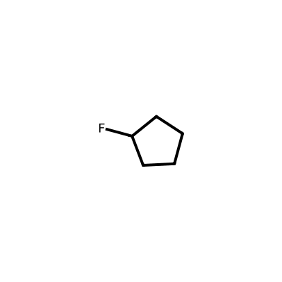 F[C]1CCCC1